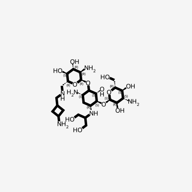 NC1CC(CNC[C@H]2O[C@H](OC3[C@@H](N)C[C@@H](NC(CO)CO)[C@H](O[C@H]4O[C@H](CO)[C@@H](O)[C@H](N)[C@H]4O)[C@H]3O)[C@H](N)[C@@H](O)[C@@H]2O)C1